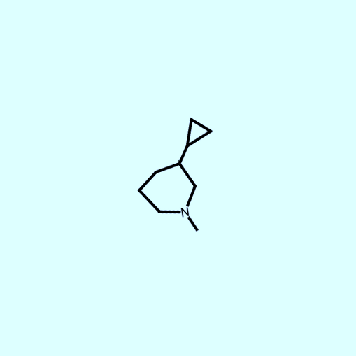 CN1CCC[C](C2CC2)C1